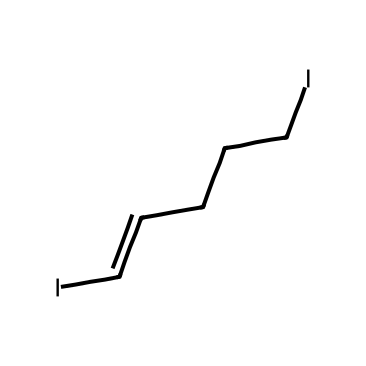 IC=CCCCI